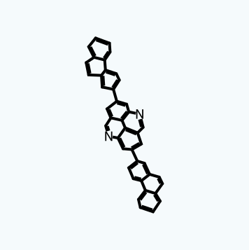 c1ccc2c(c1)ccc1cc(-c3cc4cnc5cc(-c6ccc7c(ccc8ccccc87)c6)cc6cnc(c3)c4c65)ccc12